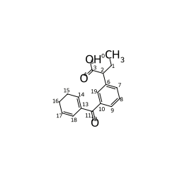 CCC(C(=O)O)c1cccc(C(=O)C2=CCCC=C2)c1